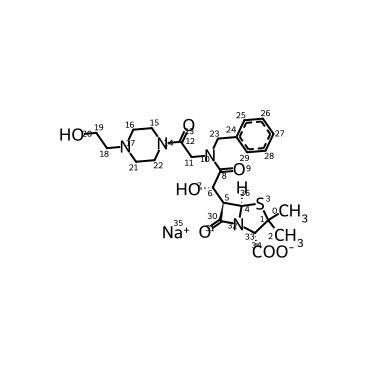 CC1(C)S[C@@H]2[C@H]([C@H](O)C(=O)N(CC(=O)N3CCN(CCO)CC3)Cc3ccccc3)C(=O)N2[C@H]1C(=O)[O-].[Na+]